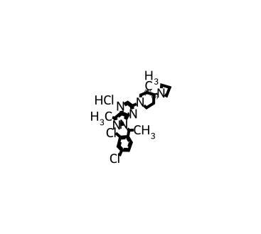 Cc1nn(C(C)c2ccc(Cl)cc2Cl)c2nc(N3CC[C@H](N4CCC4)[C@H](C)C3)cnc12.Cl